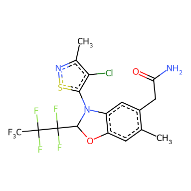 Cc1cc2c(cc1CC(N)=O)N(c1snc(C)c1Cl)C(C(F)(F)C(F)(F)C(F)(F)F)O2